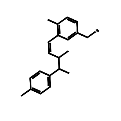 Cc1ccc(C(C)C(C)/C=C\c2cc(CBr)ccc2C)cc1